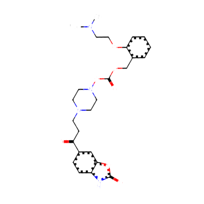 CN(C)CCOc1ccccc1COC(=O)ON1CCN(CCC(=O)c2ccc3[nH]c(=O)oc3c2)CC1